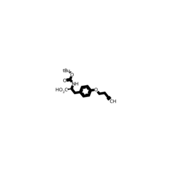 C#CCCOc1ccc(C[C@H](NC(=O)OC(C)(C)C)C(=O)O)cc1